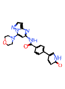 O=C(Nc1cc(N2CCOCC2)n2nccc2n1)c1ccc(-c2ccc(=O)[nH]c2)cc1